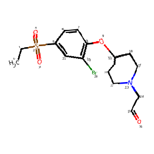 CCS(=O)(=O)c1ccc(OC2CCN(CC=O)CC2)c(Br)c1